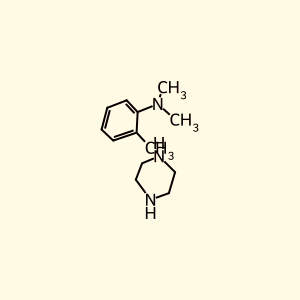 C1CNCCN1.Cc1ccccc1N(C)C